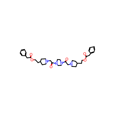 O=C(Cc1ccccc1)OCCC1CCN(CC(=O)N2CCN(C(=O)CN3CCC(CCOC(=O)Cc4ccccc4)CC3)CC2)CC1